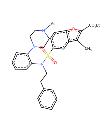 CCOC(=O)c1oc2ccc(S(=O)(=O)N(CCc3ccccc3)c3ccccc3N3CCN(C(C)=O)CC3)cc2c1C